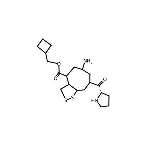 NC1CC(C(=O)[C@@H]2CCCN2)CC2SSCC2C(C(=O)OCC2CCC2)C1